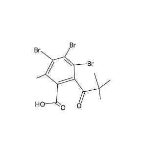 Cc1c(Br)c(Br)c(Br)c(C(=O)C(C)(C)C)c1C(=O)O